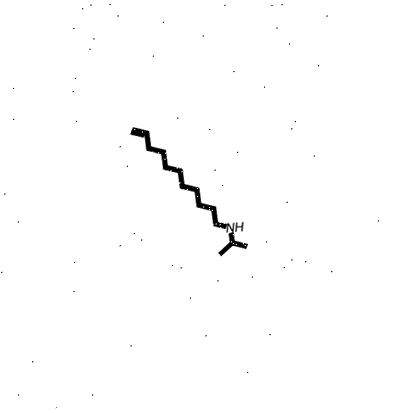 C=CCCCCCCCCCNC(C)C